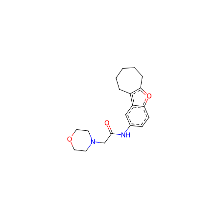 O=C(CN1CCOCC1)Nc1ccc2oc3c(c2c1)CCCCC3